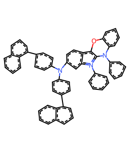 c1ccc(N2c3ccccc3Oc3c2n(-c2ccccc2)c2cc(N(c4ccc(-c5cccc6ccccc56)cc4)c4ccc(-c5cccc6ccccc56)cc4)ccc32)cc1